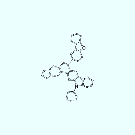 c1ccc(-n2c3ccccc3c3cc4c(-c5ccc6oc7ccccc7c6c5)cc5cc6sccc6cc5c4cc32)cc1